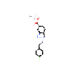 COC(=O)c1ccc2cn(CCc3ccc(F)cc3)nc2c1